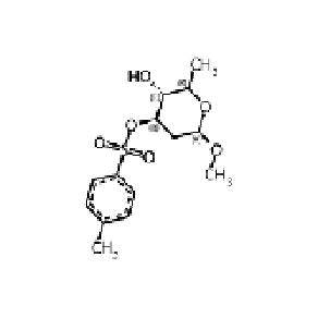 CO[C@H]1C[C@@H](OS(=O)(=O)c2ccc(C)cc2)[C@H](O)[C@@H](C)O1